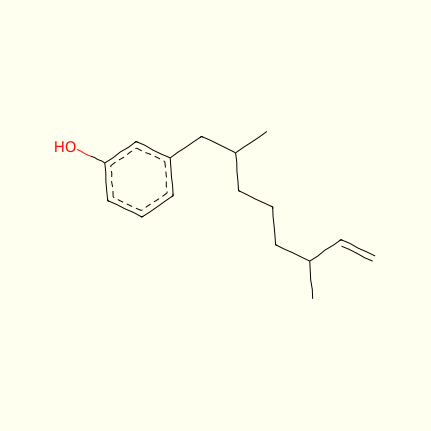 C=CC(C)CCCC(C)Cc1cccc(O)c1